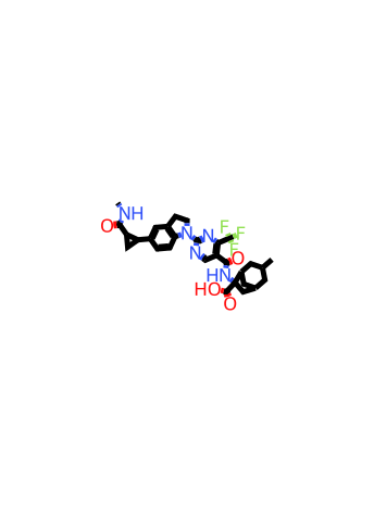 CNC(=O)C1CC1c1ccc2c(c1)CCN2c1ncc(C(=O)NC2(C(=O)O)CC3CC(C)CC2C3)c(C(F)(F)F)n1